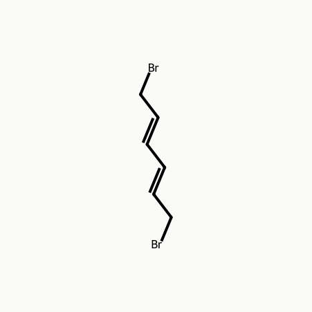 BrCC=C/C=C/CBr